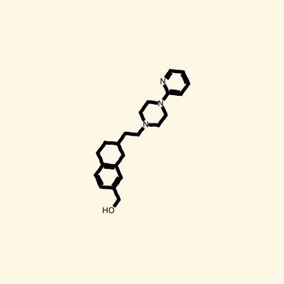 OCc1ccc2c(c1)CC(CCN1CCN(c3ccccn3)CC1)CC2